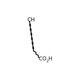 C#CC#CC#CC#CC#CC#CC#CCCCCCC(=O)O